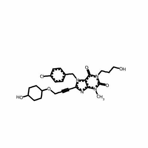 Cn1c(=O)n(CCCO)c(=O)c2c1nc(C#CCOC1CCC(O)CC1)n2Cc1ccc(Cl)cc1